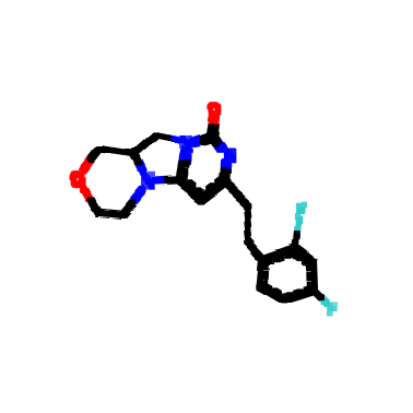 O=c1nc(CCc2ccc(F)cc2F)cc2n1CC1COCCN21